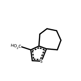 O=C(O)c1csc2c1CCCCC2